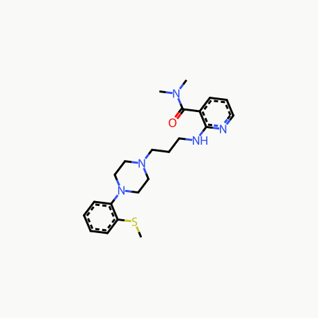 CSc1ccccc1N1CCN(CCCNc2ncccc2C(=O)N(C)C)CC1